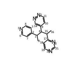 CC(c1ccncc1)C(c1ccnnc1)C(C)c1ccncn1